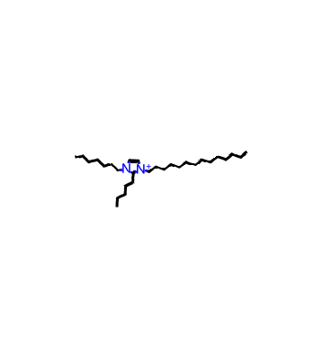 CCCCCCCCCCCCCC[n+]1ccn(CCCCCCC)c1CCCCC